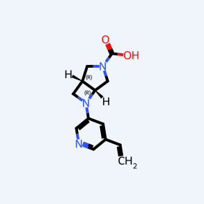 C=Cc1cncc(N2C[C@@H]3CN(C(=O)O)C[C@@H]32)c1